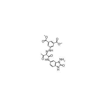 COC(=O)c1cc(N/N=C(/C(C)=O)C(=O)Nc2ccc3[nH]c(=O)n(N)c3c2)cc(C(=O)OC)c1